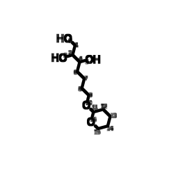 OCC(O)C(O)CCCCOC1CCCCO1